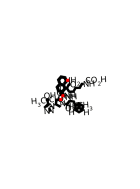 CC(C)(O)c1cnnn1[C@H]1C[C@@H](C(=O)NC(CCCCNC(=O)O)C(=O)C(N)=O)N(C(=O)C(C[C@H]2CC[C@H]3C[C@@H]2C3(C)C)NC(=O)c2ccc3ccccc3c2)C1